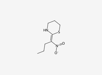 CCCC(=C1NCCCS1)[N+](=O)[O-]